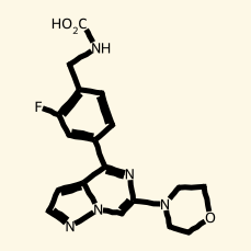 O=C(O)NCc1ccc(-c2nc(N3CCOCC3)cn3nccc23)cc1F